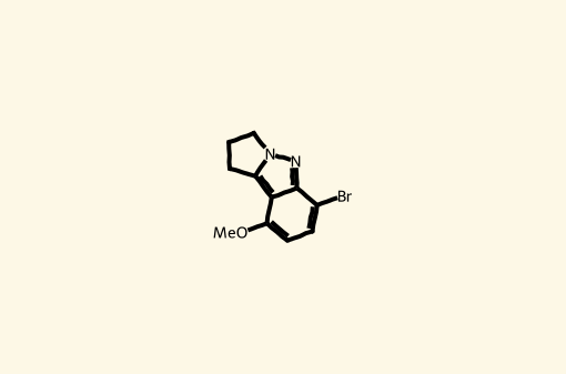 COc1ccc(Br)c2nn3c(c12)CCC3